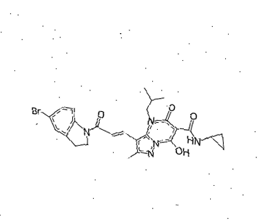 Cc1nn2c(O)c(C(=O)NC3CC3)c(=O)n(CC(C)C)c2c1C=CC(=O)N1CCc2cc(Br)ccc21